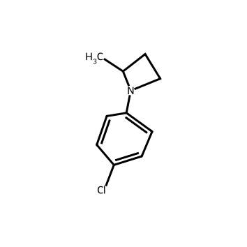 CC1CCN1c1ccc(Cl)cc1